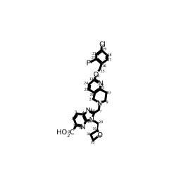 O=C(O)c1ccc2nc(CN3CCc4nc(OCc5ccc(Cl)cc5F)ccc4C3)n(C[C@@H]3CCO3)c2n1